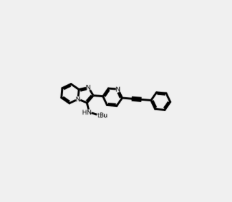 CC(C)(C)Nc1c(-c2ccc(C#Cc3ccccc3)nc2)nc2ccccn12